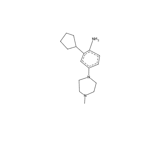 CN1CCN(c2ccc(N)c(C3CCCC3)c2)CC1